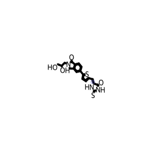 O=C1NC(=S)N/C1=C\c1ccc(-c2ccc3c(c2)CN(CC(O)CO)C3=O)s1